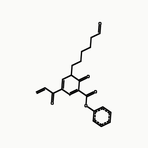 C=CC(=O)C1=CC(CCCCCC=O)C(=O)C(C(=O)Oc2ccccc2)=[C]1